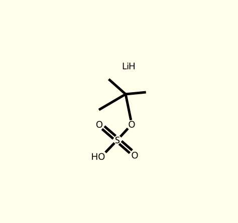 CC(C)(C)OS(=O)(=O)O.[LiH]